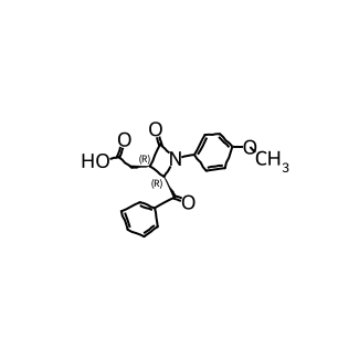 COc1ccc(N2C(=O)[C@H](CC(=O)O)[C@@H]2C(=O)c2ccccc2)cc1